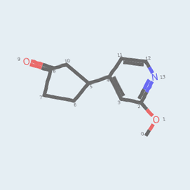 COc1cc(C2CCC(=O)C2)ccn1